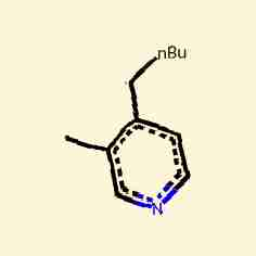 CCCC[CH]c1ccncc1C